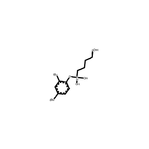 CCCCCCCCCCCCCC[PH](O)(O)Oc1ccc(C(C)(C)C)cc1C(C)(C)C